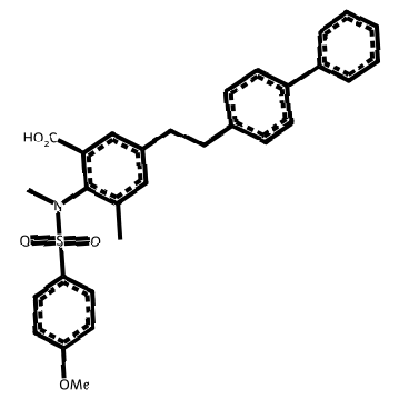 COc1ccc(S(=O)(=O)N(C)c2c(C)cc(CCc3ccc(-c4ccccc4)cc3)cc2C(=O)O)cc1